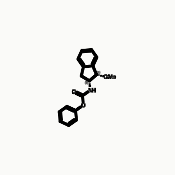 CO[C@H]1c2ccccc2C[C@H]1NC(=O)Oc1ccccc1